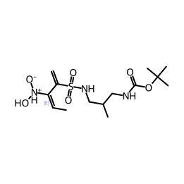 C=C(/C(=C\C)[NH+]([O-])O)S(=O)(=O)NCC(C)CNC(=O)OC(C)(C)C